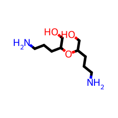 NCCCC(CO)OC(CO)CCCN